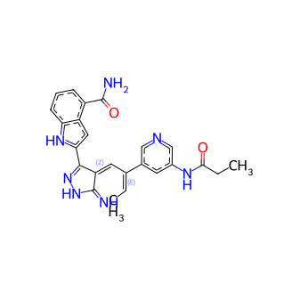 C/C=C(\C=C1/C(=N)NN=C1c1cc2c(C(N)=O)cccc2[nH]1)c1cncc(NC(=O)CC)c1